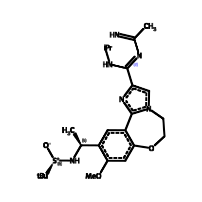 COc1cc2c(cc1[C@H](C)N[S@+]([O-])C(C)(C)C)-c1nc(/C(=N/C(C)=N)NC(C)C)cn1CCO2